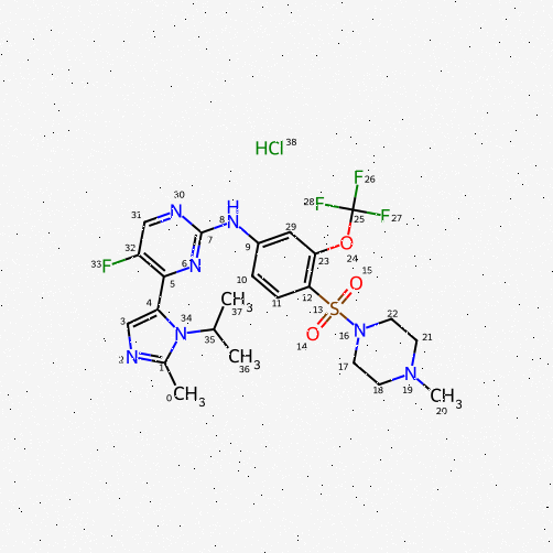 Cc1ncc(-c2nc(Nc3ccc(S(=O)(=O)N4CCN(C)CC4)c(OC(F)(F)F)c3)ncc2F)n1C(C)C.Cl